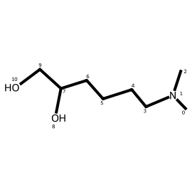 CN(C)CCCCC(O)CO